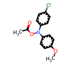 COc1ccc(N(OC(C)=O)c2ccc(Cl)cc2)cc1